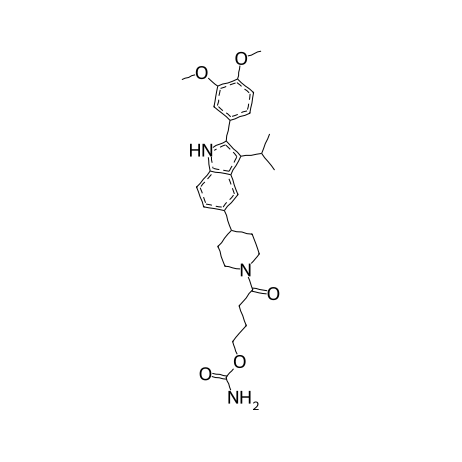 COc1ccc(-c2[nH]c3ccc(C4CCN(C(=O)CCCOC(N)=O)CC4)cc3c2C(C)C)cc1OC